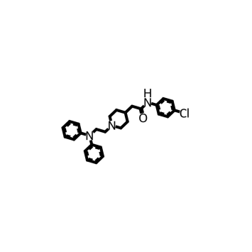 O=C(CC1CCN(CCN(c2ccccc2)c2ccccc2)CC1)Nc1ccc(Cl)cc1